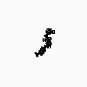 O=C(Nc1cc(NCc2cn3cc(C4CC4)ccc3n2)ccn1)C1CC1c1cc(Cl)ccn1